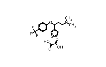 CN(C)CCC(Oc1ccc(C(F)(F)F)cc1)c1ccsc1.O=C(O)C(=O)O